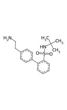 CC(C)(C)NS(=O)(=O)c1ccccc1-c1ccc(CCN)cc1